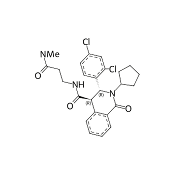 CNC(=O)CCNC(=O)[C@@H]1c2ccccc2C(=O)N(C2CCCC2)[C@H]1c1ccc(Cl)cc1Cl